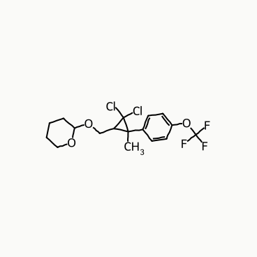 CC1(c2ccc(OC(F)(F)F)cc2)C(COC2CCCCO2)C1(Cl)Cl